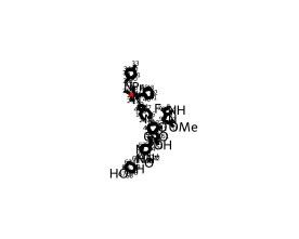 COc1nc2[nH]cc(F)c2cc1Oc1cc(N2CCC3(CC2)CC(N2CC4CN(Cc5ccc(C)cc5)CC4C2c2ccccc2C(C)C)C3)ccc1C(=O)N(O)[S+]([O-])c1cnc(NC[C@H]2CC[C@](C)(O)CC2)c([NH+](C)[O-])c1